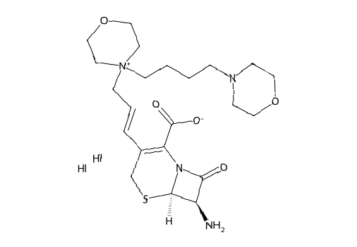 I.I.N[C@@H]1C(=O)N2C(C(=O)[O-])=C(C=CC[N+]3(CCCCN4CCOCC4)CCOCC3)CS[C@H]12